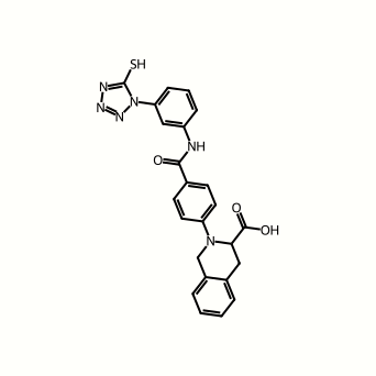 O=C(Nc1cccc(-n2nnnc2S)c1)c1ccc(N2Cc3ccccc3CC2C(=O)O)cc1